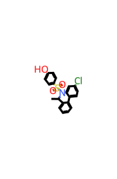 CC1c2ccccc2-c2ccc(Cl)cc2N1S(=O)(=O)c1ccc(O)cc1